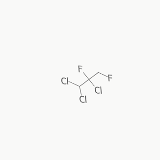 FCC(F)(Cl)C(Cl)Cl